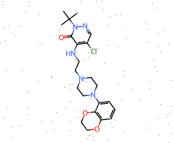 CC(C)(C)n1ncc(Cl)c(NCCN2CCN(c3cccc4c3OCCO4)CC2)c1=O